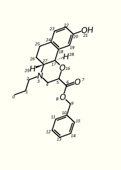 CCCN1CC(C(=O)OCc2ccccc2)O[C@@H]2c3cc(O)ccc3CC[C@H]21